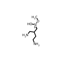 CO[SiH](O)CC(CN)CCN